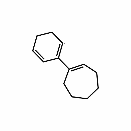 [C]1=C(C2=CCCCCC2)C=CCC1